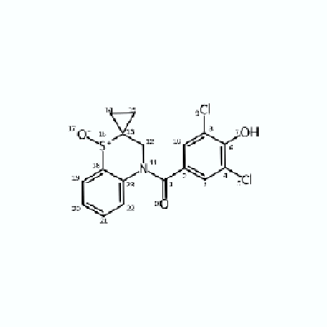 O=C(c1cc(Cl)c(O)c(Cl)c1)N1CC2(CC2)[S+]([O-])c2ccccc21